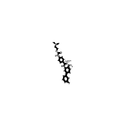 CN(C)CCOC(=O)Nc1ccc(C(=O)Nc2cc(-c3cccc(F)c3)ccc2N)cc1.Cl